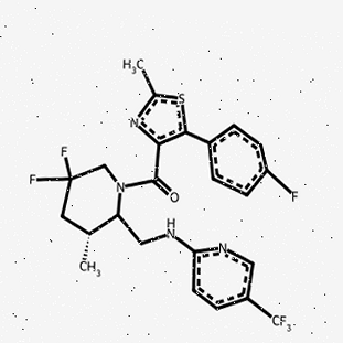 Cc1nc(C(=O)N2CC(F)(F)C[C@@H](C)C2CNc2ccc(C(F)(F)F)cn2)c(-c2ccc(F)cc2)s1